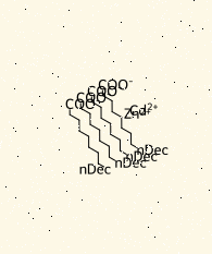 CCCCCCCCCCCCCCCCCC(=O)[O-].CCCCCCCCCCCCCCCCCC(=O)[O-].CCCCCCCCCCCCCCCCCC(=O)[O-].CCCCCCCCCCCCCCCCCC(=O)[O-].[Cd+2].[Zn+2]